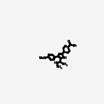 CNc1ccc(-c2cc(C3CCN(C(=O)C(C)C)CC3)[nH]c2C(N)NN)cc1